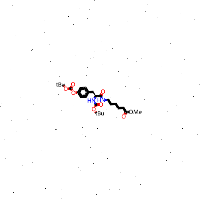 COC(=O)CCCCCNC(=O)[C@H](Cc1ccc(OC(=O)OC(C)(C)C)cc1)NC(=O)OC(C)(C)C